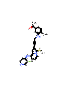 CNC(=O)c1ccc(OC)c(NCC#Cc2cc3c(N[C@@H]4CCNC[C@@H]4F)cccn3c2SC(F)(F)F)c1